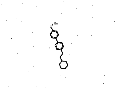 CCCCOc1ccc(-c2ccc(CCC3CC[CH]CC3)cc2)cc1